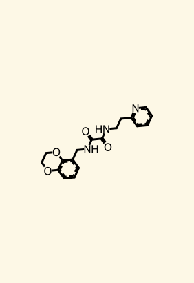 O=C(NCCc1ccccn1)C(=O)NCc1cccc2c1OCCO2